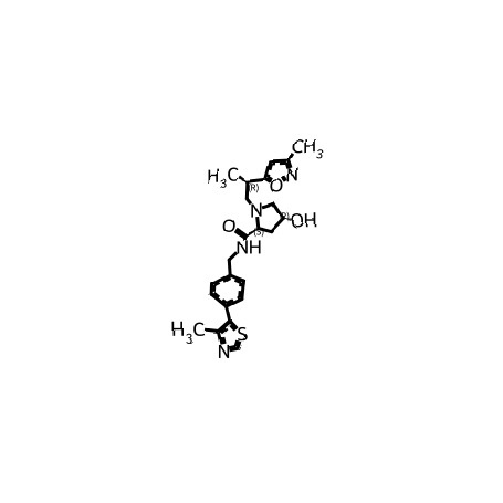 Cc1cc([C@H](C)CN2C[C@H](O)C[C@H]2C(=O)NCc2ccc(-c3scnc3C)cc2)on1